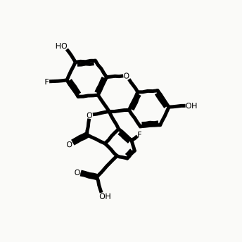 O=C(O)C1C=CC(F)=C2C1C(=O)OC21c2ccc(O)cc2Oc2cc(O)c(F)cc21